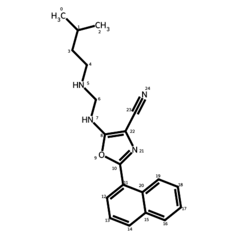 CC(C)CCNCNc1oc(-c2cccc3ccccc23)nc1C#N